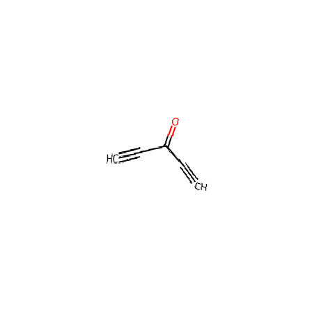 C#CC(=O)C#C